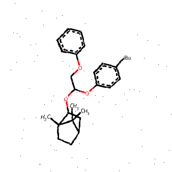 CCC(C)c1ccc(OC(COc2ccccc2)OC2CC3CCC2(C)C3(C)C)cc1